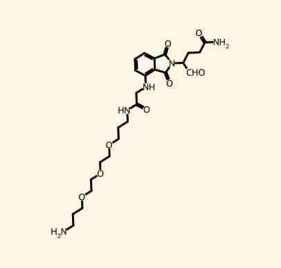 NCCCOCCOCCOCCCNC(=O)CNc1cccc2c1C(=O)N(C(C=O)CCC(N)=O)C2=O